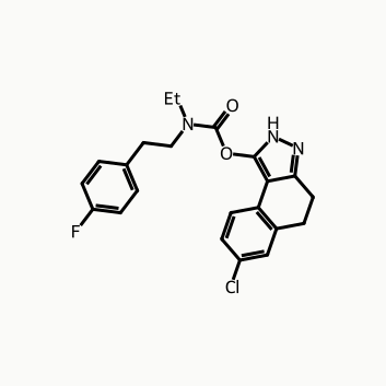 CCN(CCc1ccc(F)cc1)C(=O)Oc1[nH]nc2c1-c1ccc(Cl)cc1CC2